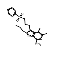 CCCc1nc2c(N)nc(C)c(C)c2n1CCCS(=O)(=O)c1ncccn1